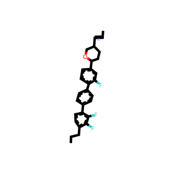 C/C=C/C1CCC(c2ccc(-c3ccc(-c4ccc(CCC)c(F)c4F)cc3)c(F)c2)OC1